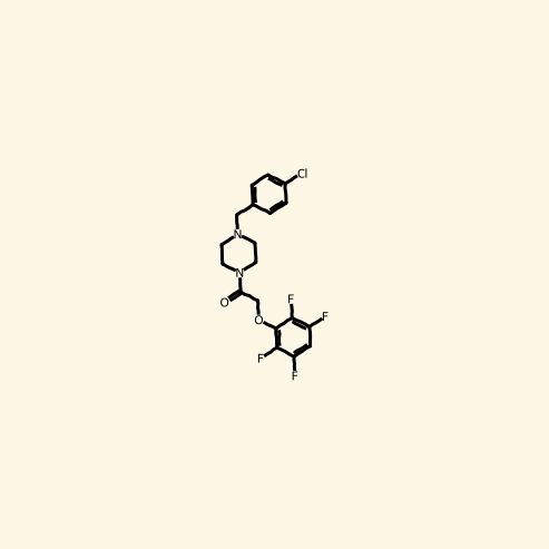 O=C(COc1c(F)c(F)cc(F)c1F)N1CCN(Cc2ccc(Cl)cc2)CC1